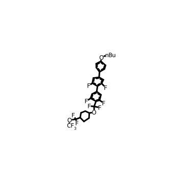 CCCCOc1ccc(-c2cc(F)c(-c3cc(F)c(C(F)(F)OC4CCC(C(F)(F)OC(F)(F)F)CC4)c(F)c3)c(F)c2)cc1